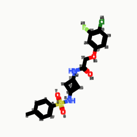 Cc1ccc(S(=O)(=O)NC23CC(NC(=O)COc4ccc(Cl)c(F)c4)(C2)C3)cc1